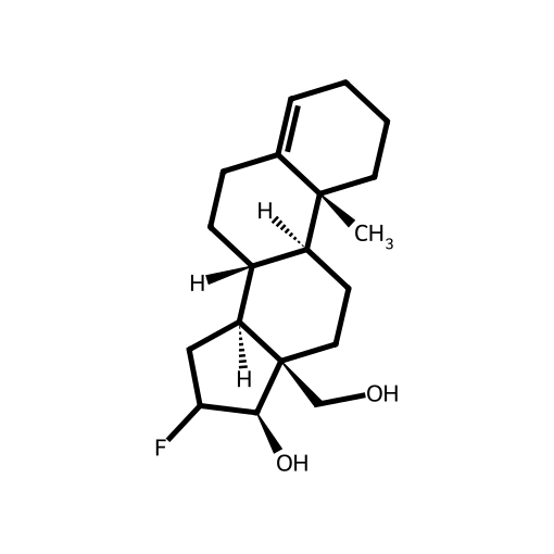 C[C@]12CCCC=C1CC[C@H]1[C@@H]3CC(F)[C@H](O)[C@@]3(CO)CC[C@@H]12